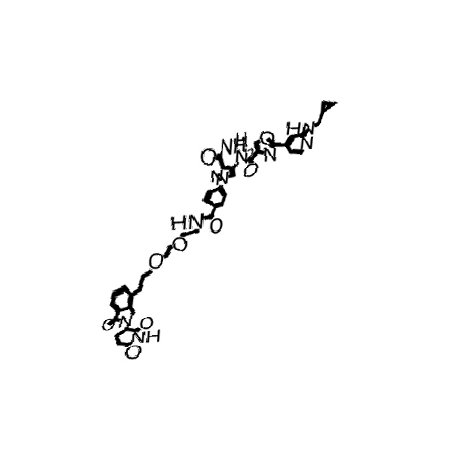 NC(=O)c1nn(-c2ccc(C(=O)NCCOCCOCCCc3cccc4c3CN(C3CCC(=O)NC3=O)C4=O)cc2)cc1NC(=O)c1coc(-c2ccnc(NCC3CC3)c2)n1